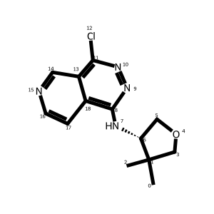 CC1(C)COC[C@H]1Nc1nnc(Cl)c2cnccc12